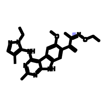 C=C(/C(C)=N\OCC)c1cc2[nH]c3nc(C)nc(Nc4c(C)cnn4CC)c3c2cc1OC